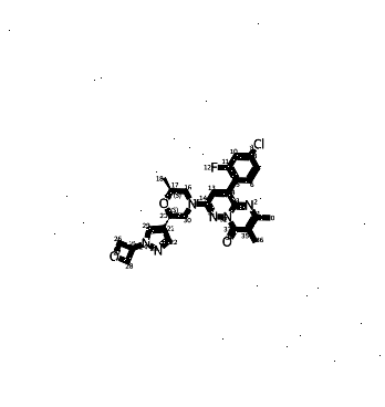 Cc1nc2c(-c3ccc(Cl)cc3F)cc(N3C[C@H](C)O[C@@H](c4cnn(C5COC5)c4)C3)nn2c(=O)c1C